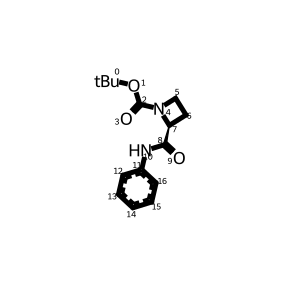 CC(C)(C)OC(=O)N1CC[C@H]1C(=O)Nc1ccccc1